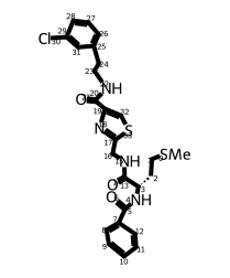 CSCC[C@H](NC(=O)c1ccccc1)C(=O)NCc1nc(C(=O)NCCc2cccc(Cl)c2)cs1